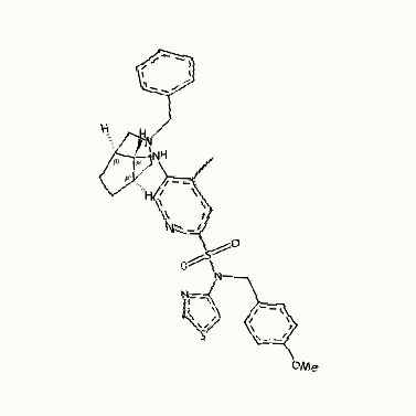 COc1ccc(CN(c2cscn2)S(=O)(=O)c2cc(C)c(N[C@@H]3[C@@H]4CC[C@H]3CN(Cc3ccccc3)C4)cn2)cc1